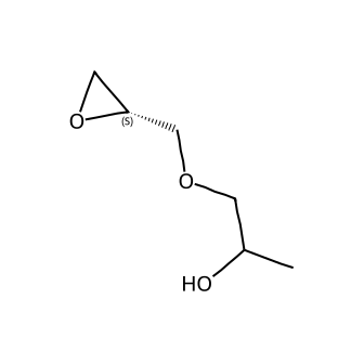 CC(O)COC[C@H]1CO1